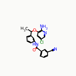 CC(Oc1cc(Cl)cnc1N)c1cccc(NC(=O)c2cccc(C#N)c2)c1